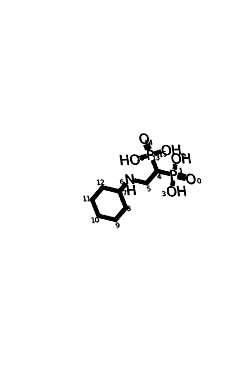 O=P(O)(O)C(CNC1CCCCC1)P(=O)(O)O